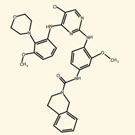 COc1cc(NC(=O)N2CCc3ccccc3C2)ccc1Nc1ncc(Cl)c(Nc2cccc(OC)c2N2CCOCC2)n1